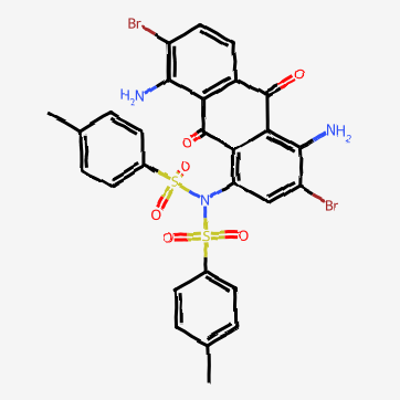 Cc1ccc(S(=O)(=O)N(c2cc(Br)c(N)c3c2C(=O)c2c(ccc(Br)c2N)C3=O)S(=O)(=O)c2ccc(C)cc2)cc1